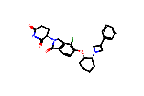 O=C1CC[C@@H](N2Cc3c(ccc(O[C@H]4CCCC[C@H]4N4CC(c5ccccc5)C4)c3F)C2=O)C(=O)N1